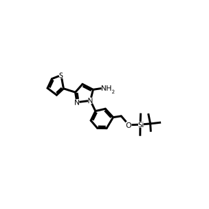 CC(C)(C)[Si](C)(C)OCc1cccc(-n2nc(-c3cccs3)cc2N)c1